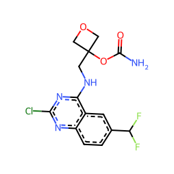 NC(=O)OC1(CNc2nc(Cl)nc3ccc(C(F)F)cc23)COC1